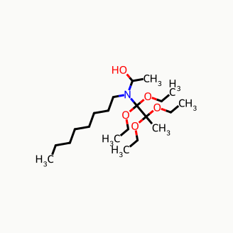 CCCCCCCCN(C(C)O)C(OCC)(OCC)C(C)(OCC)OCC